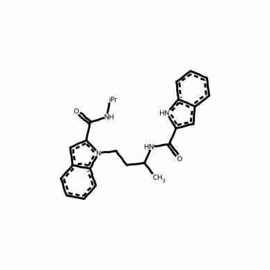 CC(C)NC(=O)c1cc2ccccc2n1CCC(C)NC(=O)c1cc2ccccc2[nH]1